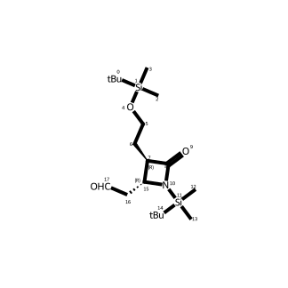 CC(C)(C)[Si](C)(C)OCC[C@H]1C(=O)N([Si](C)(C)C(C)(C)C)[C@@H]1CC=O